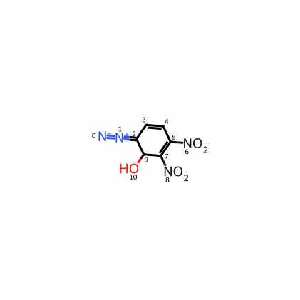 [N-]=[N+]=C1C=CC([N+](=O)[O-])=C([N+](=O)[O-])C1O